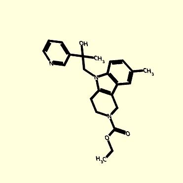 CCOC(=O)N1CCc2c(c3cc(C)ccc3n2CC(C)(O)c2cccnc2)C1